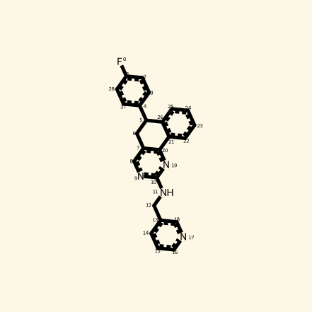 Fc1ccc(C2Cc3cnc(NCc4cccnc4)nc3-c3ccccc32)cc1